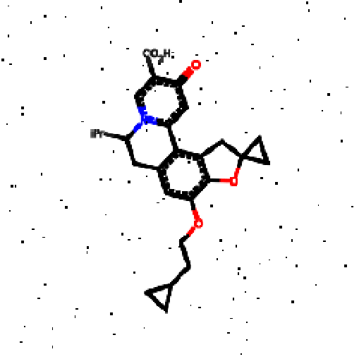 CC(C)C1Cc2cc(OCCC3CC3)c3c(c2-c2cc(=O)c(C(=O)O)cn21)CC1(CC1)O3